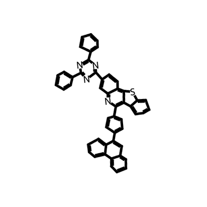 c1ccc(-c2nc(-c3ccccc3)nc(-c3ccc4c(c3)nc(-c3ccc(-c5cc6ccccc6c6ccccc56)cc3)c3c5ccccc5sc43)n2)cc1